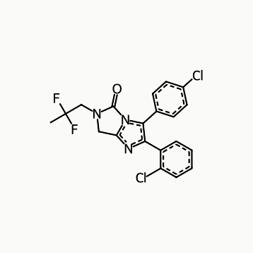 CC(F)(F)CN1Cc2nc(-c3ccccc3Cl)c(-c3ccc(Cl)cc3)n2C1=O